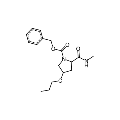 CCCOC1CC(C(=O)NC)N(C(=O)OCc2ccccc2)C1